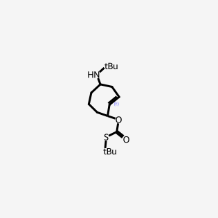 CC(C)(C)NC1C/C=C/C(OC(=O)SC(C)(C)C)CCC1